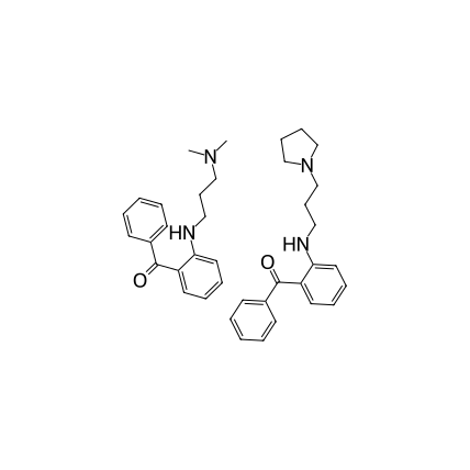 CN(C)CCCNc1ccccc1C(=O)c1ccccc1.O=C(c1ccccc1)c1ccccc1NCCCN1CCCC1